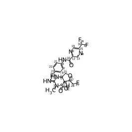 CN1C(=N)N[C@@]2(c3cc(NC(=O)c4cnc(C(F)F)cn4)ccc3F)CO[C@@H](CF)[C@H]2S1(=O)=O